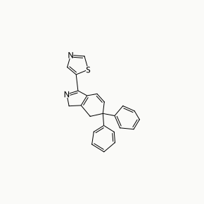 C1=CC(c2ccccc2)(c2ccccc2)CC2=C1C(c1cncs1)=NC2